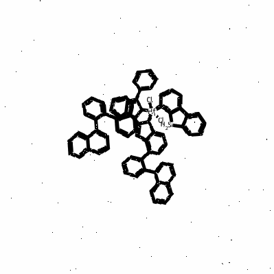 [Cl][Hf]([Cl])([c]1cccc2c1[SiH2]c1ccccc1-2)([CH]1C(c2ccccc2)=Cc2c(-c3ccccc3-c3cccc4ccccc34)cccc21)[CH]1C(c2ccccc2)=Cc2c(-c3ccccc3-c3cccc4ccccc34)cccc21